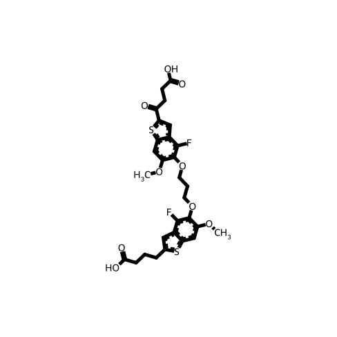 COc1cc2sc(CCCC(=O)O)cc2c(F)c1OCCCOc1c(OC)cc2sc(C(=O)CCC(=O)O)cc2c1F